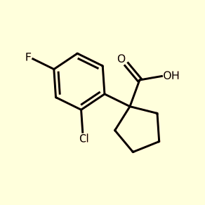 O=C(O)C1(c2ccc(F)cc2Cl)CCCC1